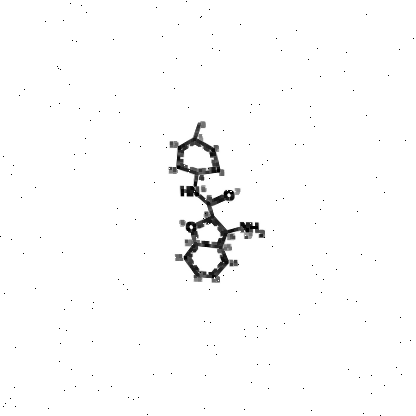 Cc1ccc(NC(=O)c2oc3ccccc3c2N)cc1